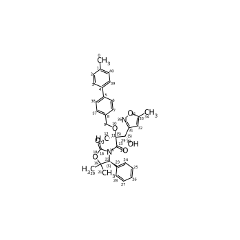 Cc1ccc(-c2ccc(CO[C@](C)(C(=O)N3C(=O)OC(C)(C)[C@@H]3c3ccccc3)[C@@H](O)c3cc(C)on3)cc2)cc1